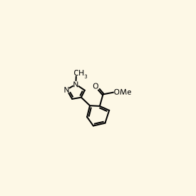 COC(=O)c1ccccc1-c1cnn(C)c1